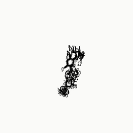 Cc1cc2nc(N)c3cnn(C)c3c2cc1C(=O)N1CCCN1c1ncc(B2OC(C)(C)C(C)(C)O2)cc1F